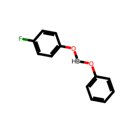 Fc1ccc(OBOc2ccccc2)cc1